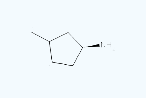 CC1CC[C@H](N)C1